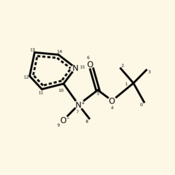 CC(C)(C)OC(=O)[N+](C)([O-])c1ccccn1